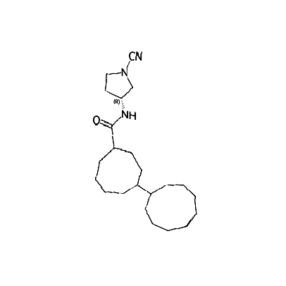 N#CN1CC[C@@H](NC(=O)C2CCCCC(C3CCCCCCCC3)CC2)C1